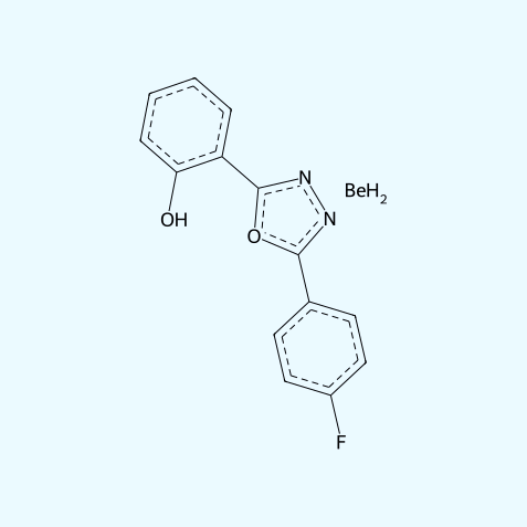 Oc1ccccc1-c1nnc(-c2ccc(F)cc2)o1.[BeH2]